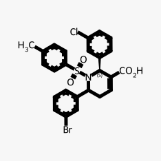 Cc1ccc(S(=O)(=O)N2C(c3cccc(Br)c3)CC=C(C(=O)O)[C@@H]2c2cccc(Cl)c2)cc1